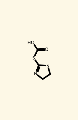 O=C(O)SC1=NCCS1